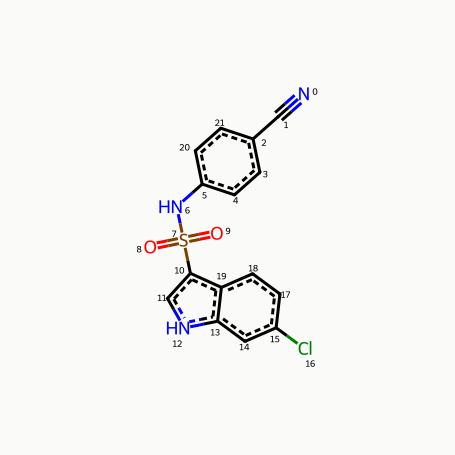 N#Cc1ccc(NS(=O)(=O)c2c[nH]c3cc(Cl)ccc23)cc1